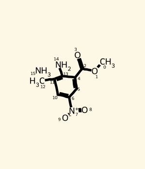 COC(=O)c1cc([N+](=O)[O-])cc(C)c1N.N